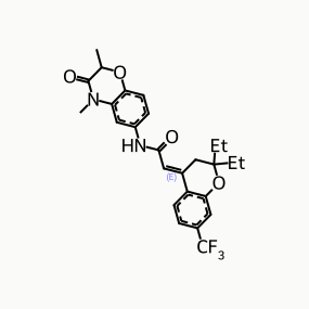 CCC1(CC)C/C(=C\C(=O)Nc2ccc3c(c2)N(C)C(=O)C(C)O3)c2ccc(C(F)(F)F)cc2O1